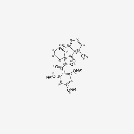 COc1cc(OC)c(C(=O)[P](=O)C2(C(=O)c3c(C(F)(F)F)cccc3C(F)(F)F)CCCCC2)c(OC)c1